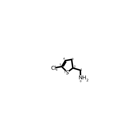 NCC1CC=C(Cl)S1